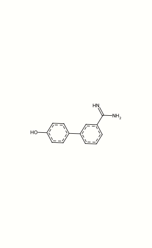 N=C(N)c1cccc(-c2ccc(O)cc2)c1